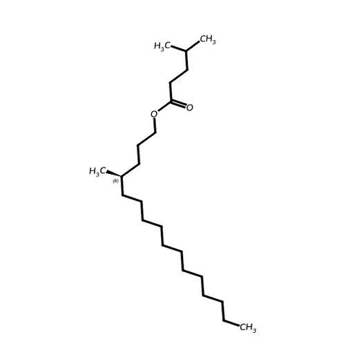 CCCCCCCCCCCC[C@@H](C)CCCOC(=O)CCC(C)C